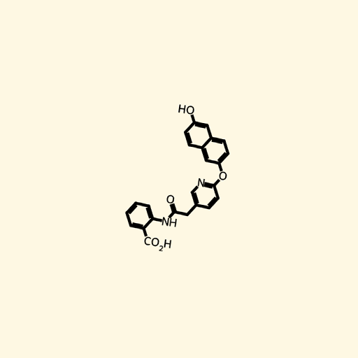 O=C(Cc1ccc(Oc2ccc3cc(O)ccc3c2)nc1)Nc1ccccc1C(=O)O